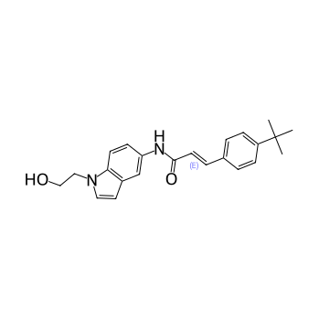 CC(C)(C)c1ccc(/C=C/C(=O)Nc2ccc3c(ccn3CCO)c2)cc1